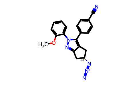 COc1ccccc1-n1nc2c(c1-c1ccc(C#N)cc1)C[C@H](N=[N+]=[N-])C2